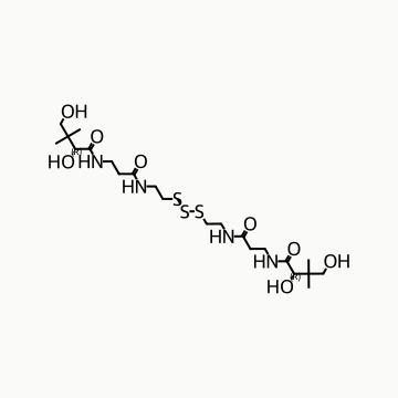 CC(C)(CO)[C@@H](O)C(=O)NCCC(=O)NCCSSSCCNC(=O)CCNC(=O)[C@H](O)C(C)(C)CO